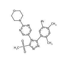 Cc1cc(C)c(C(C)C)cc1-c1nnc(S(C)(=O)=O)n1-c1cnc(N2CCOCC2)nc1